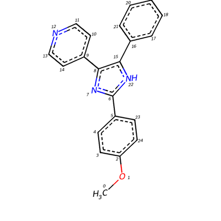 COc1ccc(-c2nc(-c3ccncc3)c(-c3ccccc3)[nH]2)cc1